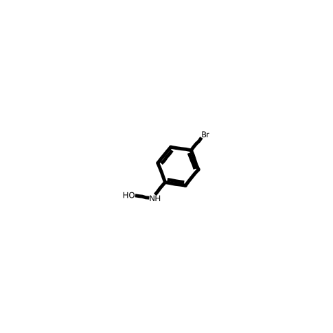 ONc1ccc(Br)cc1